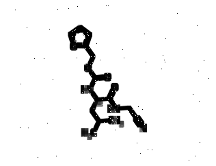 CC(C)C[C@@H](NC(=O)OCc1ccco1)C(=O)NCC#N